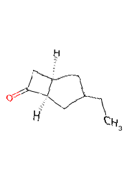 CCC1C[C@@H]2CC(=O)[C@@H]2C1